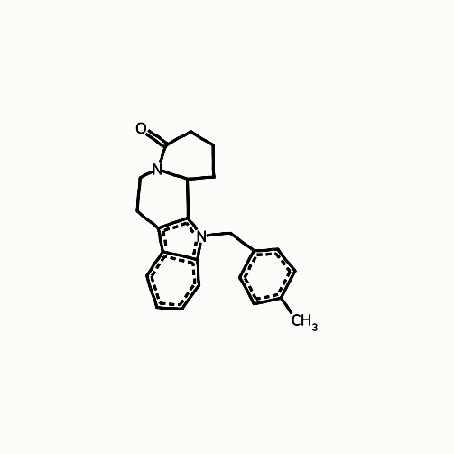 Cc1ccc(Cn2c3c(c4ccccc42)CCN2C(=O)CCCC32)cc1